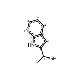 CC(S)c1cc2cccnc2[nH]1